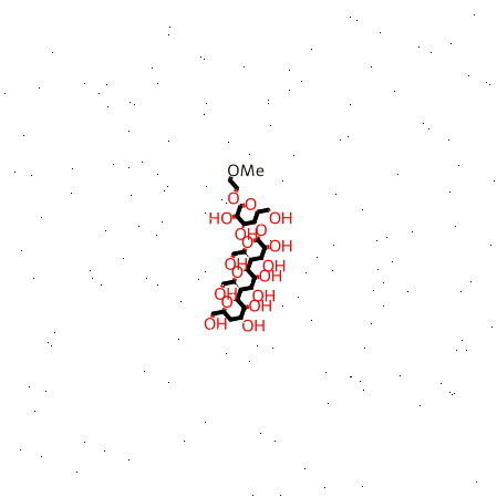 COCCOC1OC(CO)[C@H](O[C@@H]2OC(CO)[C@@H]([C@H]3OC(CO)[C@@H]([C@H]4OC(CO)C[C@@H](O)C4O)[C@@H](O)C3O)[C@@H](O)C2O)[C@@H](O)C1O